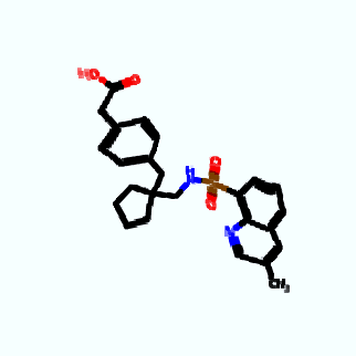 Cc1cnc2c(S(=O)(=O)NCC3(Cc4ccc(CC(=O)O)cc4)CCCC3)cccc2c1